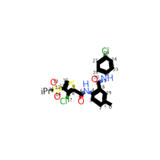 Cc1ccc(NC(=O)c2scc(S(=O)(=O)C(C)C)c2Cl)c(C(=O)Nc2ccc(Cl)cc2)c1